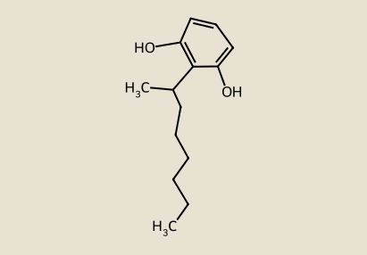 CCCCCCC(C)c1c(O)cccc1O